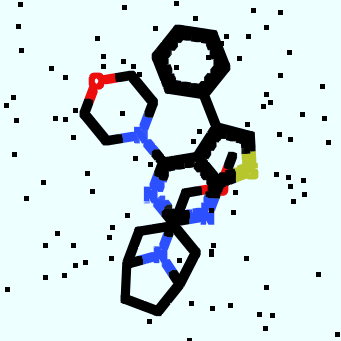 COCC1CC2CCC(C1)N2c1nc(N2CCOCC2)c2c(-c3ccccc3)csc2n1